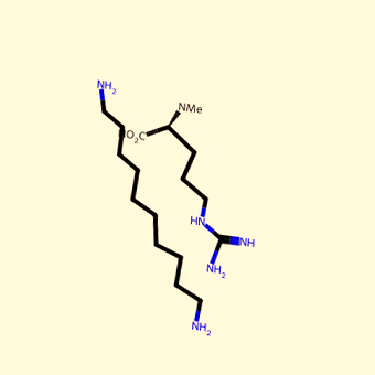 CN[C@@H](CCCNC(=N)N)C(=O)O.NCCCCCCCCCCN